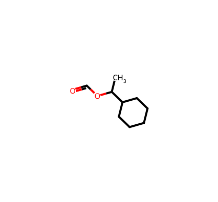 CC(OC=O)C1CCCCC1